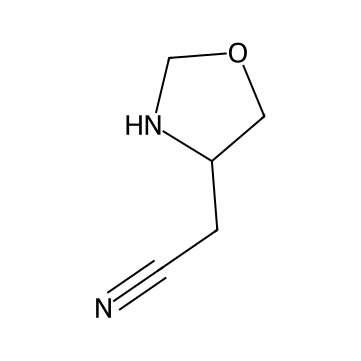 N#CCC1COCN1